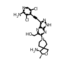 C[C@@H]1OCC2(CCN(c3nc4[nH]nc(C#Cc5c(Cl)cnc(N)c5Cl)c4nc3CO)CC2)[C@@H]1N